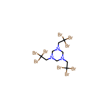 BrC(Br)(Br)CN1CN(CC(Br)(Br)Br)CN(CC(Br)(Br)Br)C1